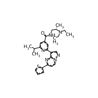 CCN(CC)[C@@H](C)CNC(=O)c1cc(-c2cnn3ccc(-c4cccs4)nc23)nc(C(C)C)c1